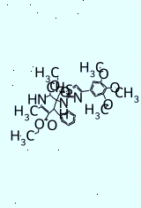 CCOC(=O)C1=C(C)NC(C)C(Nc2nc(-c3cc(OC)c(OC)c(OC)c3)cs2)(C(=O)OCC)C1c1ccccc1